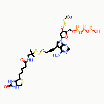 CC(C)(C)SSO[C@@H]1C[C@H](n2cc(C#CCOSSC(C)(C)CNC(=O)CCCCC3SCC4NC(=O)NC43)c3c(N)ncnc32)O[C@@H]1COPOPOPO